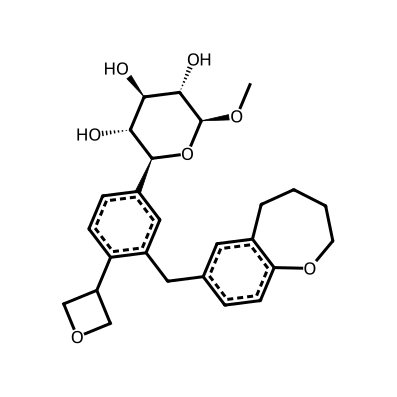 CO[C@H]1O[C@@H](c2ccc(C3COC3)c(Cc3ccc4c(c3)CCCCO4)c2)[C@H](O)[C@@H](O)[C@@H]1O